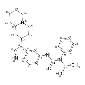 CC(C)N(C(=O)Nc1ccc2[nH]cc(C3CCN4CCCCC4C3)c2c1)c1ccccc1